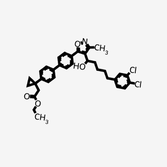 CCOC(=O)CC1(c2ccc(-c3ccc(-c4onc(C)c4C(O)CCCCc4ccc(Cl)c(Cl)c4)cc3)cc2)CC1